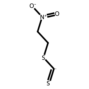 O=[N+]([O-])CCS[C]=S